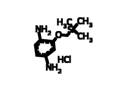 C[Si](C)(C)COc1cc(N)ccc1N.Cl